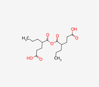 CCCC(CCC(=O)O)C(=O)OC(=O)C(CCC)CCC(=O)O